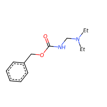 CCN(CC)CNC(=O)OCc1ccccc1